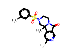 Cc1cc2c(cn1)C(=O)N1CCN(S(=O)(=O)c3cccc(C(F)(F)F)c3)CC21C